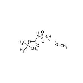 COCCNS(=O)(=O)NC(=O)OC(C)(C)C